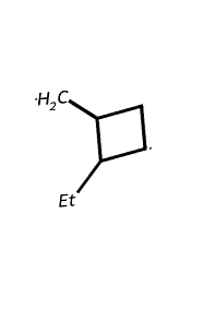 [CH2]C1C[CH]C1CC